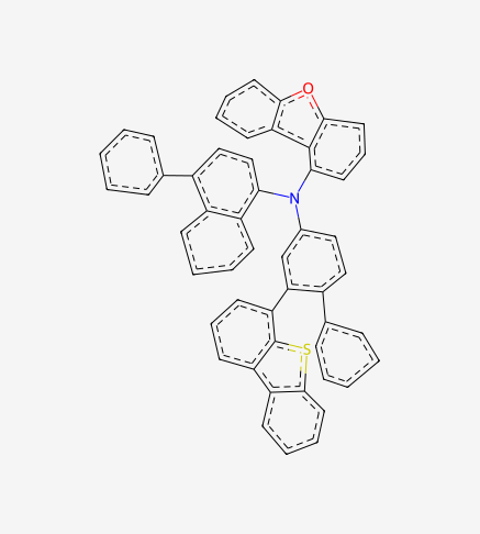 c1ccc(-c2ccc(N(c3ccc(-c4ccccc4)c4ccccc34)c3cccc4oc5ccccc5c34)cc2-c2cccc3c2sc2ccccc23)cc1